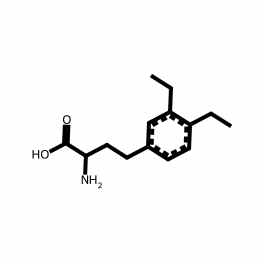 CCc1ccc(CCC(N)C(=O)O)cc1CC